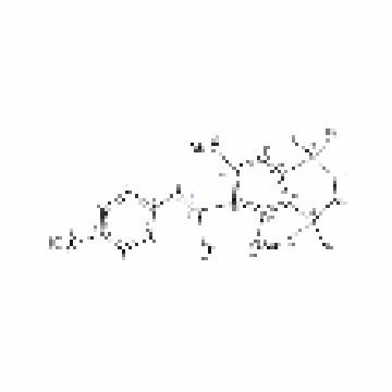 CC/C(=C\c1ccc(C(=O)O)cc1)c1c(OC)cc2c(c1OC)C(C)(C)CCC2(C)C